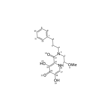 COCCN(CCCc1ccccc1)C(=O)c1[nH]cc(O)c(=O)c1O